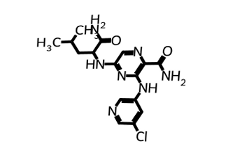 CC(C)CC(Nc1cnc(C(N)=O)c(Nc2cncc(Cl)c2)n1)C(N)=O